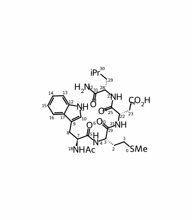 CSCC[C@H](NC(=O)[C@H](Cc1c[nH]c2ccccc12)NC(C)=O)C(=O)N[C@@H](CC(=O)O)C(=O)N[C@@H](CC(C)C)C(N)=O